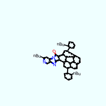 CCCCc1cc2c(cn1)nc1c3c4cc(-c5ccccc5CCCC)c5ccc6ccc7c(-c8ccccc8CCCC)cc(c3c(=O)n21)c1c7c6c5c41